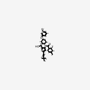 CC1=CCC(C(=O)N(c2cc(C#CC(C)(C)C)sc2C(=O)O)[C@H]2CC[C@H](Oc3ccc[n+]([O-])c3)CC2)[C@@H](C)C1